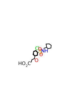 O=C(O)CCC(=O)c1ccc(Cl)c(S(=O)(=O)NCC2CCCCC2)c1